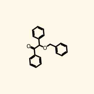 O=C(c1ccccc1)C(OCc1ccccc1)c1ccccc1